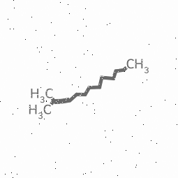 CCCCCCCCCC=C=C(C)C